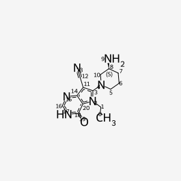 CCn1c(N2CCC[C@H](N)C2)c(C#N)c2nc[nH]c(=O)c21